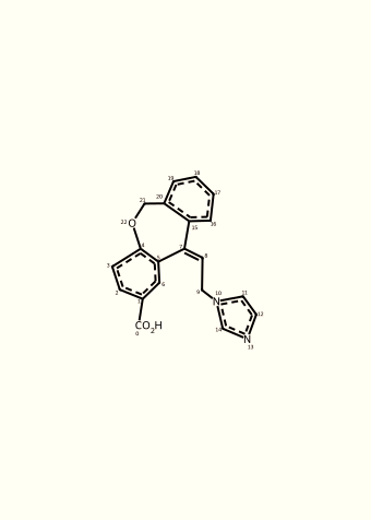 O=C(O)c1ccc2c(c1)C(=CCn1ccnc1)c1ccccc1CO2